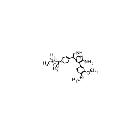 COc1ccc(-c2cc3c(C4=CCN(C(=O)OC(C)(C)C)CC4)c[nH]c3nc2N)cc1OC